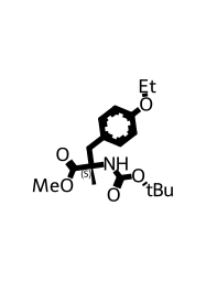 CCOc1ccc(C[C@](C)(NC(=O)OC(C)(C)C)C(=O)OC)cc1